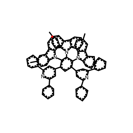 Cc1ccc2c(c1)c1ccccc1n2-c1c(-c2cc(-c3ccccc3)nc(-c3ccccc3)c2)cc(-c2cc(-c3ccccc3)nc(-c3ccccc3)c2)c(-n2c3ccccc3c3cc(C)ccc32)c1-n1c2ccccc2c2cc(C)ccc21